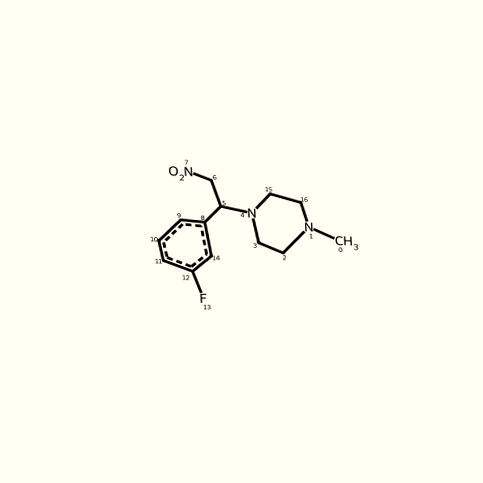 CN1CCN(C(C[N+](=O)[O-])c2cccc(F)c2)CC1